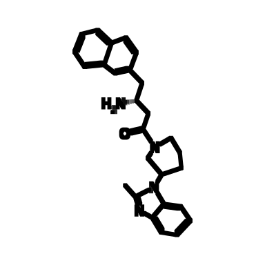 Cc1nc2ccccc2n1C1CCCN(C(=O)C[C@H](N)Cc2ccc3ccccc3c2)C1